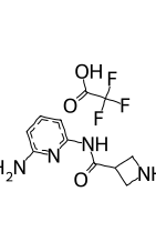 Nc1cccc(NC(=O)C2CNC2)n1.O=C(O)C(F)(F)F